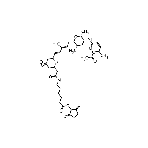 CC(=O)OC(C)/C=C\C(=O)N[C@@H]1C[C@H](C)[C@H](C/C=C(C)/C=C/[C@@H]2C[C@]3(CO3)C[C@@H](CC(=O)NCCCCCC(=O)ON3C(=O)CCC3=O)O2)O[C@@H]1C